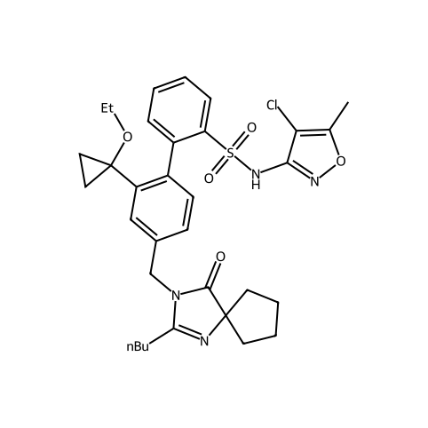 CCCCC1=NC2(CCCC2)C(=O)N1Cc1ccc(-c2ccccc2S(=O)(=O)Nc2noc(C)c2Cl)c(C2(OCC)CC2)c1